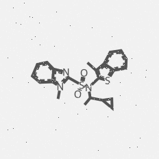 Cc1c(N(C(C)C2CC2)S(=O)(=O)c2nc3ccccc3n2C)sc2ccccc12